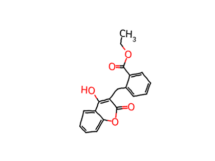 CCOC(=O)c1ccccc1Cc1c(O)c2ccccc2oc1=O